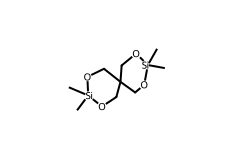 C[Si]1(C)OCC2(CO1)CO[Si](C)(C)OC2